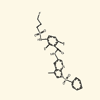 Cc1cn(S(=O)(=O)c2ccccc2)c2ncc(NC(=O)c3c(F)ccc(NS(=O)(=O)CCCF)c3F)cc12